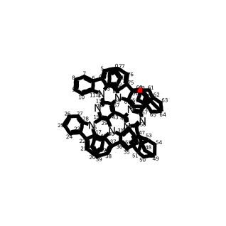 c1ccc2c(c1)c1ccccc1n2-c1nc(-n2c3ccccc3c3ccccc32)c(-n2c3ccccc3c3ccccc32)c(-c2nc(C34CC5CC(CC3C5)C4)nc(C34CC5CC3CC5C4)n2)c1-n1c2ccccc2c2ccccc21